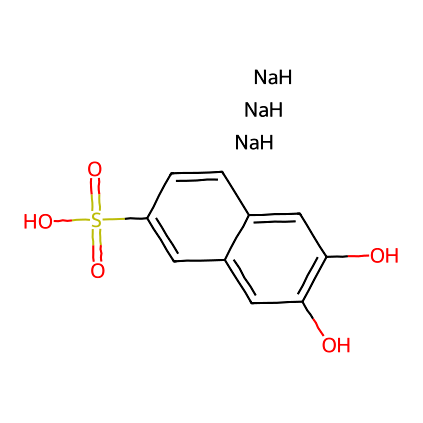 O=S(=O)(O)c1ccc2cc(O)c(O)cc2c1.[NaH].[NaH].[NaH]